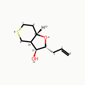 C=CC[C@H]1O[C@H]2CCSCC2[C@@H]1O